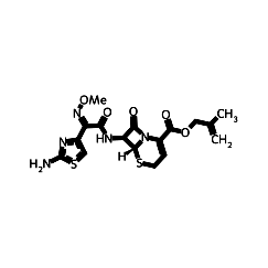 C=C(C)COC(=O)C1=CCS[C@@H]2C(NC(=O)/C(=N\OC)c3csc(N)n3)C(=O)N12